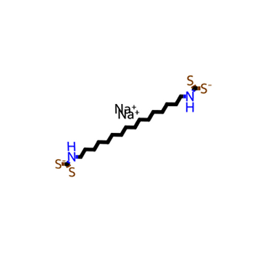 S=C([S-])NCCCCCCCCCCCCCCCCNC(=S)[S-].[Na+].[Na+]